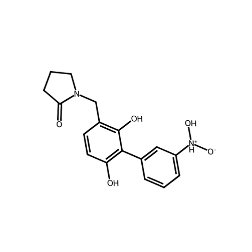 O=C1CCCN1Cc1ccc(O)c(-c2cccc([NH+]([O-])O)c2)c1O